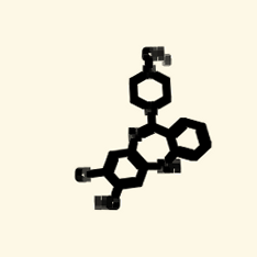 CN1CCN(C2=Nc3cc(Cl)c(O)cc3Nc3ccccc32)CC1